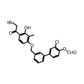 Cc1c(OCc2cccc(-c3ccc(OC=O)c(Cl)c3)c2)ccc(C(=O)CC(C)(C)C)c1O